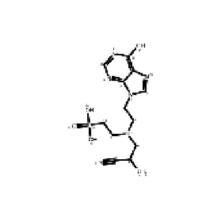 CC(C#N)CN(CCn1cnc2c(O)ncnc21)CCP(=O)(O)O